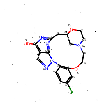 Oc1nc2nc3c1cnn3-c1ccc(F)cc1OCCN1CCOC(C2)C1